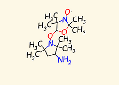 CC1(C)CC(N)C(C)(C)N1OC1OC(C)(C)N([O])C1(C)C